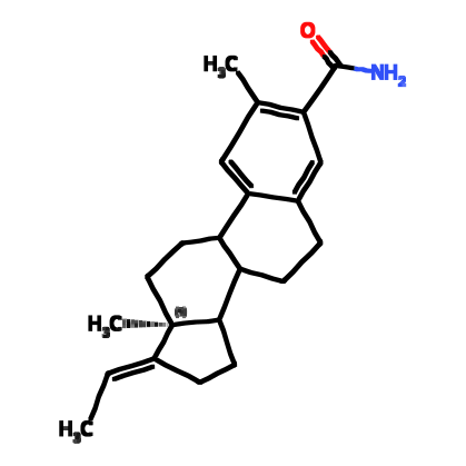 CC=C1CCC2C3CCc4cc(C(N)=O)c(C)cc4C3CC[C@]12C